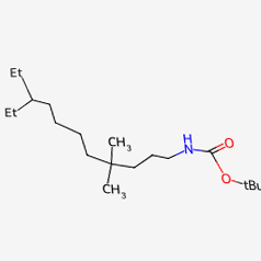 CCC(CC)CCCCC(C)(C)CCCNC(=O)OC(C)(C)C